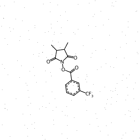 CC1C(=O)N(OC(=O)c2cccc(C(F)(F)F)c2)C(=O)C1C